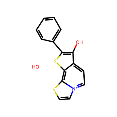 Oc1c(-c2ccccc2)sc2c1cc[n+]1ccsc21.[OH-]